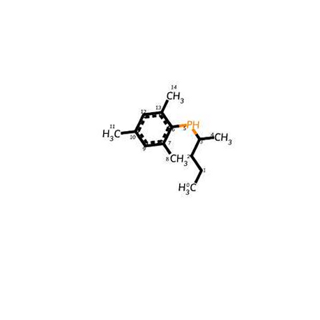 CCCC(C)Pc1c(C)cc(C)cc1C